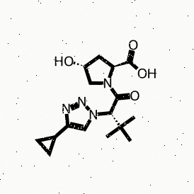 CC(C)(C)[C@@H](C(=O)N1C[C@H](O)C[C@H]1C(=O)O)n1cc(C2CC2)nn1